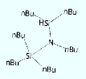 CCCCN([SiH](CCCC)CCCC)[Si](CCCC)(CCCC)CCCC